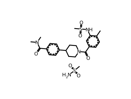 CS(N)(=O)=O.Cc1ccc(C(=O)N2CCC(c3ccc(C(=O)N(C)C)cc3)CC2)cc1NS(C)(=O)=O